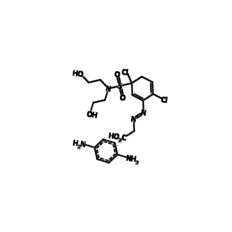 Nc1ccc(N)cc1.O=C(O)CN=NC1=CC(Cl)(S(=O)(=O)N(CCO)CCO)CC=C1Cl